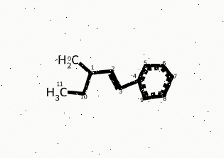 [CH2]C(C=Cc1ccccc1)CC